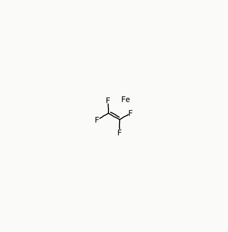 FC(F)=C(F)F.[Fe]